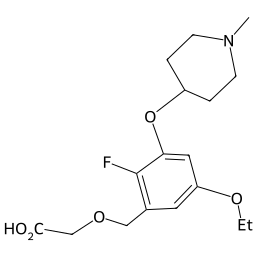 CCOc1cc(COCC(=O)O)c(F)c(OC2CCN(C)CC2)c1